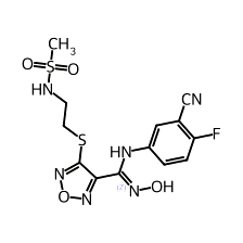 CS(=O)(=O)NCCSc1nonc1/C(=N/O)Nc1ccc(F)c(C#N)c1